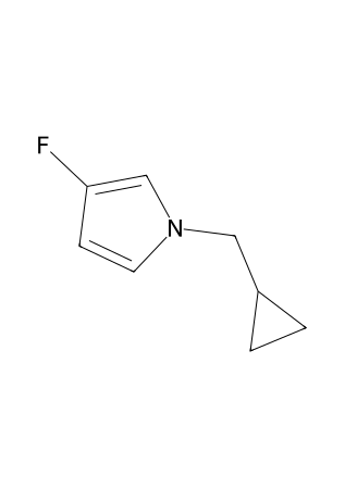 Fc1ccn(CC2CC2)c1